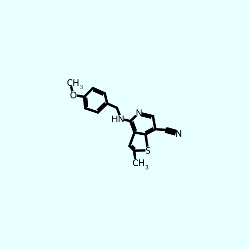 COc1ccc(CNc2ncc(C#N)c3sc(C)cc23)cc1